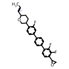 C/C=C/C1CCC(c2ccc(-c3ccc(-c4ccc(C5CO5)c(F)c4F)cc3)cc2F)CO1